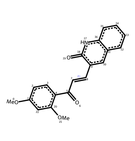 COc1ccc(C(=O)/C=C/c2cc3ccccc3[nH]c2=O)c(OC)c1